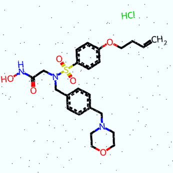 C=CCCOc1ccc(S(=O)(=O)N(CC(=O)NO)Cc2ccc(CN3CCOCC3)cc2)cc1.Cl